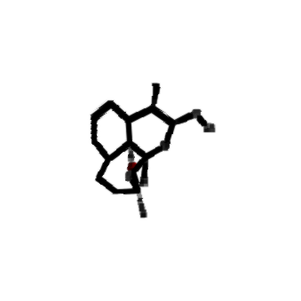 CCO[C@H]1O[C@@H]2O[C@]3(C)CCC4CCCC([C@H]1C)[C@]42OO3